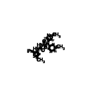 Cc1cc(NC(=O)NS(=O)(=O)N(c2cnn(C)c2)[C@H]2CCCN(C)C2)c(C(C)C)s1